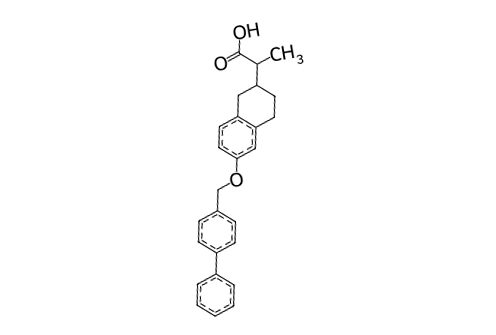 CC(C(=O)O)C1CCc2cc(OCc3ccc(-c4ccccc4)cc3)ccc2C1